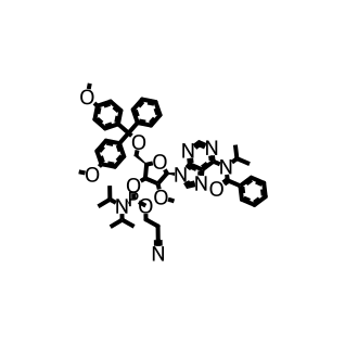 COc1ccc(C(OC[C@H]2O[C@@H](n3cnc4c(N(C(=O)c5ccccc5)C(C)C)ncnc43)C(OC)C2OP(OCCC#N)N(C(C)C)C(C)C)(c2ccccc2)c2ccc(OC)cc2)cc1